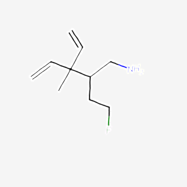 C=CC(C)(C=C)C(CN)CCF